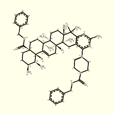 Cc1nc(N2CCN(C(=O)OCc3ccccc3)CC2)c2c(n1)C(C)(C)[C@H]1CC[C@@]3(C)[C@@H](CC=C4[C@@H]5[C@@H](C)[C@@H](C)CC[C@]5(C(=O)OCc5ccccc5)CC[C@]43C)[C@]1(C)C2